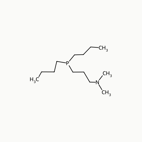 CCCCP(CCCC)CCCN(C)C